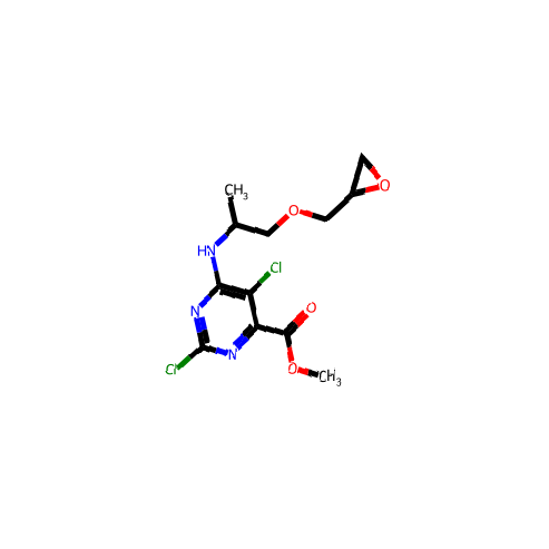 COC(=O)c1nc(Cl)nc(NC(C)COCC2CO2)c1Cl